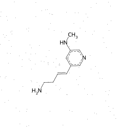 CNc1cncc(/C=C/CCN)c1